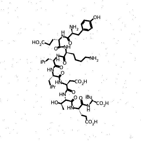 CC[C@H](C)[C@H](NC(=O)[C@H](CCC(=O)O)NC(=O)[C@@H](NC(=O)[C@H](CC(=O)O)NC(=O)[C@H](CC(C)C)NC(=O)[C@H](CC(C)C)NC(=O)[C@H](CCCCN)NC(=O)[C@H](CCC(=O)O)NC(=O)[C@@H](N)Cc1ccc(O)cc1)[C@@H](C)O)C(=O)O